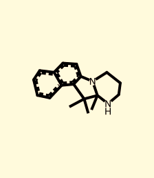 CC1(C)c2c(ccc3ccccc23)N2CCCNC21C